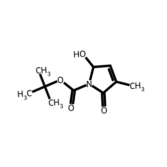 CC1=CC(O)N(C(=O)OC(C)(C)C)C1=O